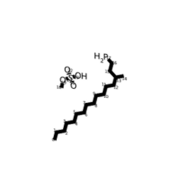 CCCCCCCCCCCCCC(C)CCP.COS(=O)(=O)O